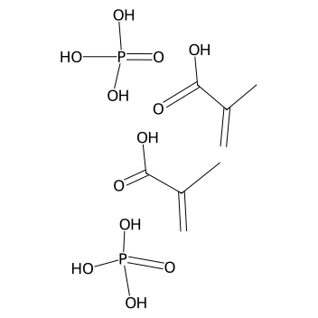 C=C(C)C(=O)O.C=C(C)C(=O)O.O=P(O)(O)O.O=P(O)(O)O